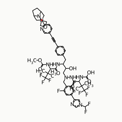 COC(=O)NC(C(=O)NC(Cc1ccc(C#Cc2ccc(N3CC4CCC(C3)N4C3COC3)nc2)cc1)C(O)CN(Cc1c(F)cc(-c2cn(C(F)F)cn2)cc1F)NC(=O)C(NC(=O)O)C(C)(C)C(F)(F)F)C(C)(C)C(F)(F)F